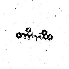 O=C(NCOC(=O)C(=O)[C@@H](C(=O)Cc1ccccc1)N1CCOC1)OC(Cc1ccccc1)c1ccccc1